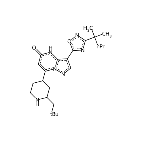 CCCC(C)(C)c1noc(-c2cnn3c(C4CCNC(CC(C)(C)C)C4)cc(=O)[nH]c23)n1